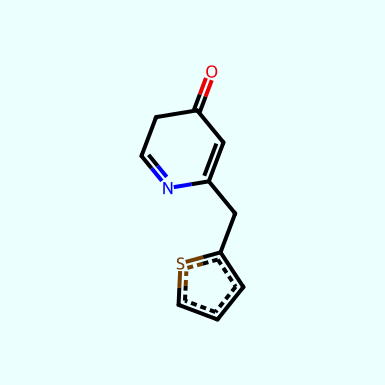 O=C1C=C(Cc2cccs2)N=CC1